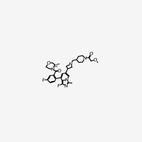 COCC(=O)N1CCC(CN2CC(c3cc(-c4ccc(F)cc4C(=O)N4CCOC[C@H]4C)c4c(F)nc(C)n4c3)C2)CC1